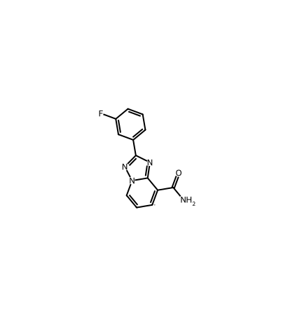 NC(=O)c1[c]ccn2nc(-c3cccc(F)c3)nc12